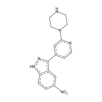 O=[N+]([O-])c1ccc2[nH]nc(-c3ccnc(N4CCNCC4)c3)c2c1